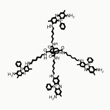 Cc1cc2nc3cc(C)c(NCCCCCCNC(=O)C45CC6(C(=O)NCCCCCCNc7cc8c(cc7C)nc7cc(C)c(N)cc7[n+]8-c7ccccc7)CC(C(=O)NCCCCCCNc7cc8c(cc7C)nc7cc(C)c(N)cc7[n+]8-c7ccccc7)(C4)CC(C(=O)NCCCCCCNc4cc7c(cc4C)nc4cc(C)c(N)cc4[n+]7-c4ccccc4)(C5)C6)cc3[n+](-c3ccccc3)c2cc1N